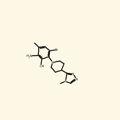 Cc1cc(Br)c(N2CCC(c3nncn3C)CC2)c(C#N)c1N